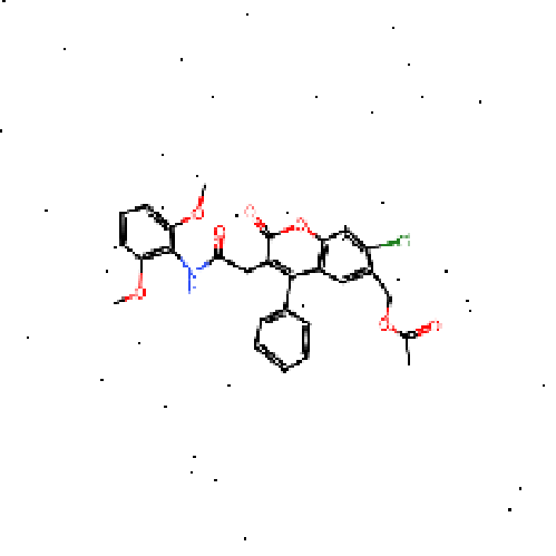 COc1cccc(OC)c1NC(=O)Cc1c(-c2ccccc2)c2cc(COC(C)=O)c(Cl)cc2oc1=O